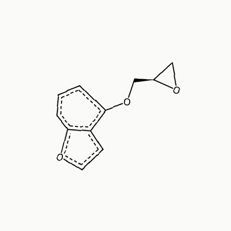 c1cc(OC[C@H]2CO2)c2ccoc2c1